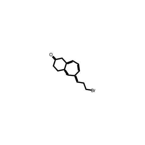 O=C1CCC23CC=CC=C2C(=CCCBr)C=CC=C3C1